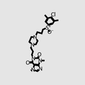 Cc1cc([S+]([O-])CCCN2CCN(CCCn3c(=O)c4c(ncn4C)n(C)c3=O)CC2)cc(C)c1Cl